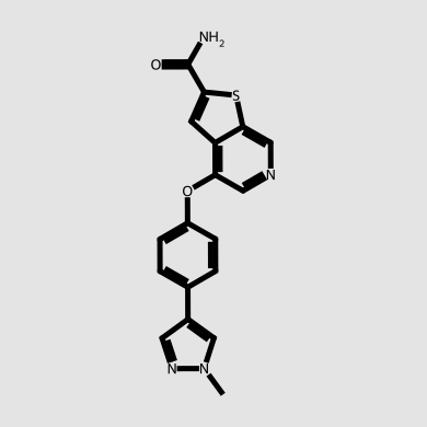 Cn1cc(-c2ccc(Oc3cncc4sc(C(N)=O)cc34)cc2)cn1